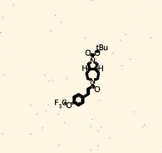 CC(C)(C)OC(=O)N1C[C@H]2CCN(C(=O)C=Cc3ccc(OC(F)(F)F)cc3)CC[C@H]2C1